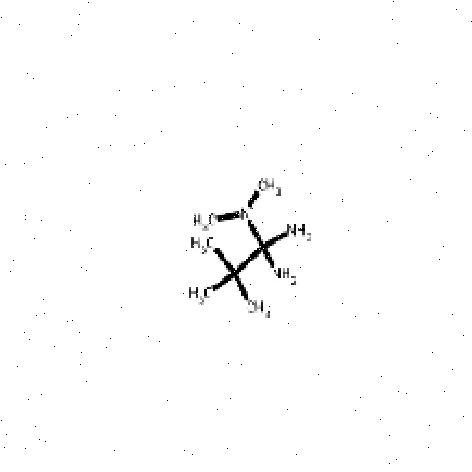 CN(C)C(N)(N)C(C)(C)C